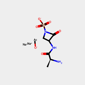 CC(=O)[O-].C[C@H](N)C(=O)NC1CN(S(=O)(=O)[O-])C1=O.[Na+].[Na+]